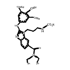 COc1cc(Nc2nc3ccc(C(=O)N(CC(C)C)CC(C)C)cc3n2CCCNC(=O)O)cc(OC)c1OC